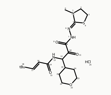 CN1CCS/C1=N\NC(=O)C(=O)C(NC(=O)/C=C/C(C)(C)C)C1CCOCC1.Cl